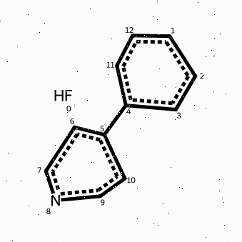 F.c1ccc(-c2ccncc2)cc1